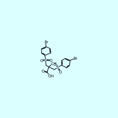 CC(CS(=O)(=O)c1ccc(Br)cc1)(CS(=O)(=O)c1ccc(Br)cc1)C(=O)O